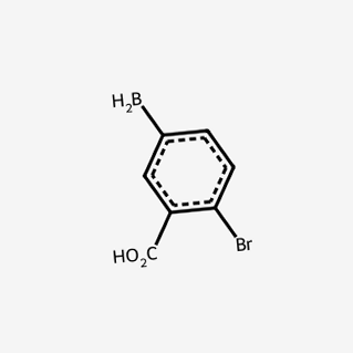 Bc1ccc(Br)c(C(=O)O)c1